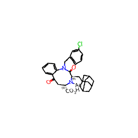 CC(=O)N1[C@H](CC23CC4CC(CC(C4)C2)C3)C(=O)N(Cc2cccc(Cl)c2)c2ccccc2C(=O)C[C@H]1C(=O)O